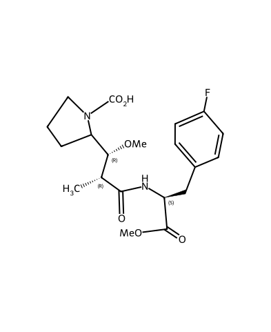 COC(=O)[C@H](Cc1ccc(F)cc1)NC(=O)[C@H](C)[C@@H](OC)C1CCCN1C(=O)O